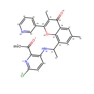 COC(=O)c1nc(Cl)ccc1NC(C)c1cc(C)cc2c(=O)c(C)c(-c3cccnc3)oc12